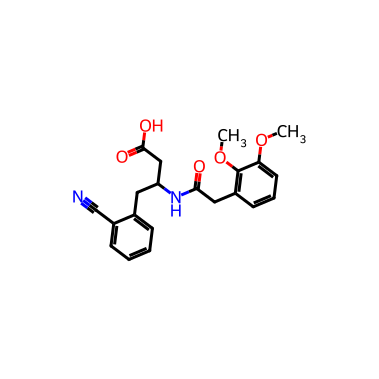 COc1cccc(CC(=O)NC(CC(=O)O)Cc2ccccc2C#N)c1OC